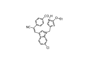 CCOc1ncc(Cn2cc(C=C(C#N)c3ccc(C(=O)O)cc3)c3ccc(Cl)cc32)s1